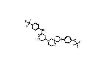 O=C(CC(CO)N1CCOC2(CCN(c3ccc(OC(F)(F)F)cc3)C2)C1)Nc1ccc(C(F)(F)F)cc1